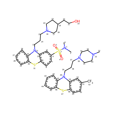 CN(C)S(=O)(=O)c1ccc2c(c1)N(CCCN1CCC(CCO)CC1)c1ccccc1S2.CN1CCN(CCCN2c3ccccc3Sc3ccc(C(F)(F)F)cc32)CC1